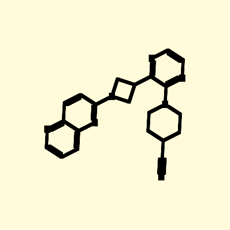 N#CC1CCN(c2nccnc2C2CN(c3ccc4ncccc4n3)C2)CC1